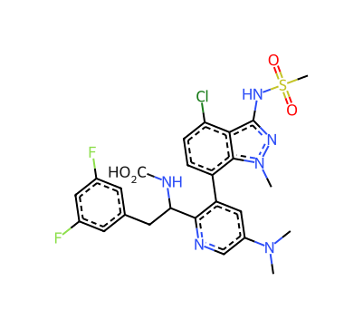 CN(C)c1cnc(C(Cc2cc(F)cc(F)c2)NC(=O)O)c(-c2ccc(Cl)c3c(NS(C)(=O)=O)nn(C)c23)c1